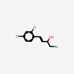 CC(=O)CC(O)C=Cc1ccc(Cl)cc1Cl